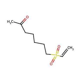 C=CS(=O)(=O)CCCCCC(C)=O